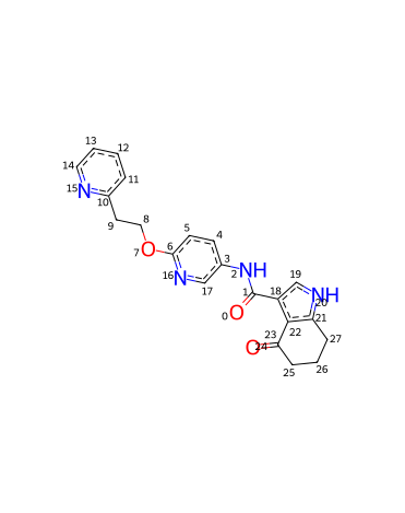 O=C(Nc1ccc(OCCc2ccccn2)nc1)c1c[nH]c2c1C(=O)CCC2